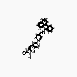 O=C1NC(=O)/C(=C\c2ccnc(N3CCC(CNCc4ccccc4-c4cncc5ccccc45)CC3)n2)S1